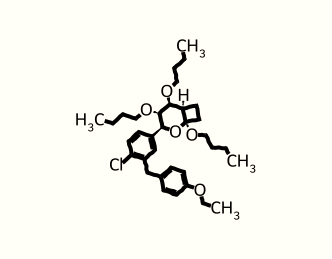 CCCCO[C@@H]1[C@@H](OCCCC)[C@H](c2ccc(Cl)c(Cc3ccc(OCC)cc3)c2)O[C@]2(OCCCC)CC[C@H]12